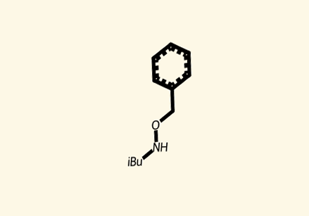 CCC(C)NOCc1ccccc1